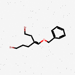 BrCCCC(=COCc1ccccc1)CCBr